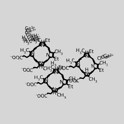 CCC1=C(C)c2cc3[nH]c(cc4nc(cc5[nH]c(cc1n2)c(C)c5CCC(=O)[O-])C(CCC(=O)[O-])=C4C)c(C)c3CC.CCC1=C(C)c2cc3[nH]c(cc4nc(cc5[nH]c(cc1n2)c(C)c5CCC(=O)[O-])C(CCC(=O)[O-])=C4C)c(C)c3CC.CCC1=C(C)c2cc3[nH]c(cc4nc(cc5[nH]c(cc1n2)c(C)c5CCC(=O)[O-])C(CCC(=O)[O-])=C4C)c(C)c3CC.C[NH-].C[NH-].C[NH-].[Cl-].[Cl-].[Cl-].[Ga+3].[Ga+3].[Ga+3].[Ga+3]